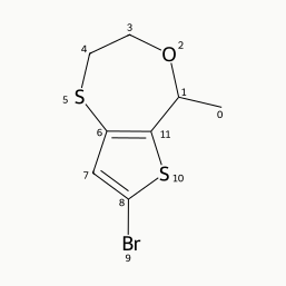 CC1OCCSc2cc(Br)sc21